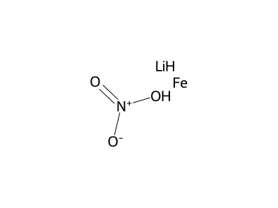 O=[N+]([O-])O.[Fe].[LiH]